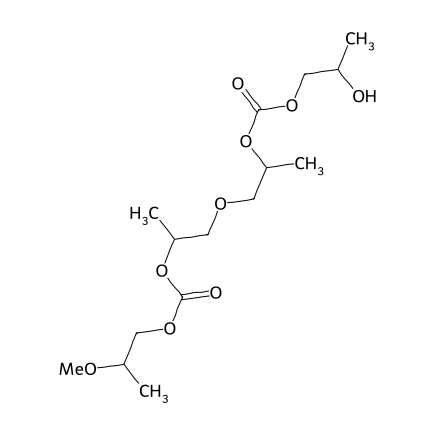 COC(C)COC(=O)OC(C)COCC(C)OC(=O)OCC(C)O